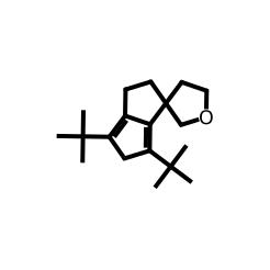 CC(C)(C)C1=C2CCC3(CCOC3)C2=C(C(C)(C)C)C1